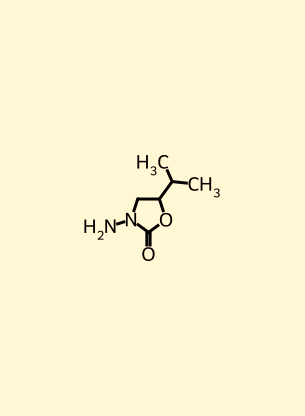 CC(C)C1CN(N)C(=O)O1